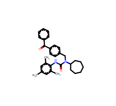 Cc1cc(C)c(NC(=O)N(Cc2ccc(C(=O)c3ccccc3)cc2)C2CCCCCC2)c(C)c1